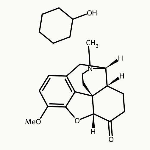 COc1ccc2c3c1O[C@H]1C(=O)CC[C@H]4[C@@H](C2)N(C)CC[C@]314.OC1CCCCC1